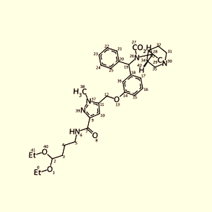 CCOC(CCCNC(=O)c1cc(COc2cccc(C(c3ccccc3)N(C(=O)O)[C@H]3CN4CCC3CC4)c2)n(C)n1)OCC